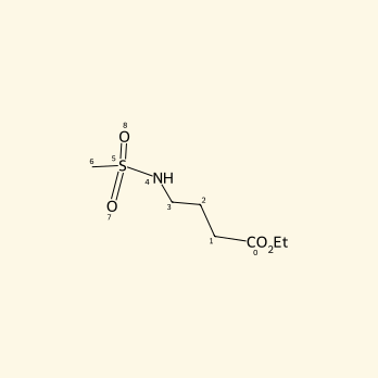 CCOC(=O)CCCNS(C)(=O)=O